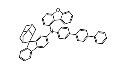 c1ccc(-c2ccc(-c3ccc(N(c4ccc5c(c4)C4(c6ccccc6-5)C5CC6CC(C5)CC4C6)c4cccc5oc6ccccc6c45)cc3)cc2)cc1